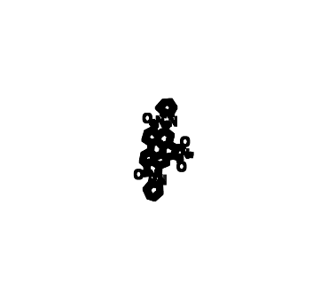 Cn1c(=O)c2c3cc4c5c(ccc6c7ccc8c(=O)n9c%10ccccc%10nc9c9cc(c2c1=O)c(c7c89)c3c65)c(=O)n1c2ccccc2nc41